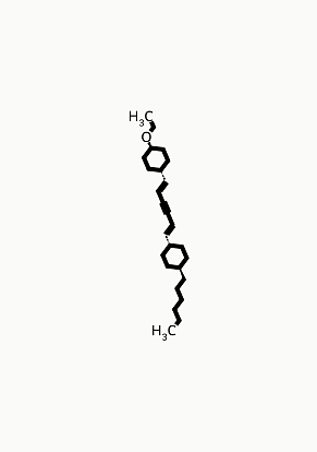 CCCCCC[C@H]1CC[C@H](C=CC#CC=C[C@H]2CC[C@H](OCC)CC2)CC1